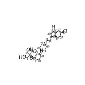 OCC1(CO)COc2c(cccc2N2CCN(CCc3c[nH]c4cc(Cl)ccc34)CC2)O1